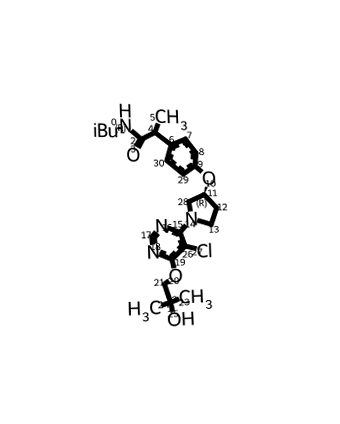 CC[C@@H](C)NC(=O)C(C)c1ccc(O[C@@H]2CCN(c3ncnc(OCC(C)(C)O)c3Cl)C2)cc1